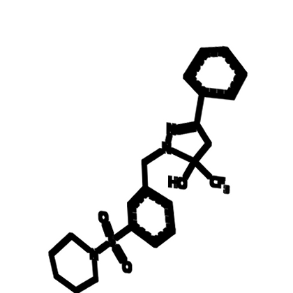 O=S(=O)(c1cccc(CN2N=C(c3ccccc3)CC2(O)C(F)(F)F)c1)N1CCCCC1